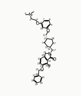 CN(C)CCOc1cccc(OC[C@H]2CC[C@H](CN3Cc4ccc(OCc5ccccc5)c(F)c4C3=O)CC2)c1